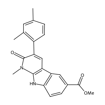 COC(=O)c1ccc2[nH]c3c(cc(-c4ccc(C)cc4C)c(=O)n3C)c2c1